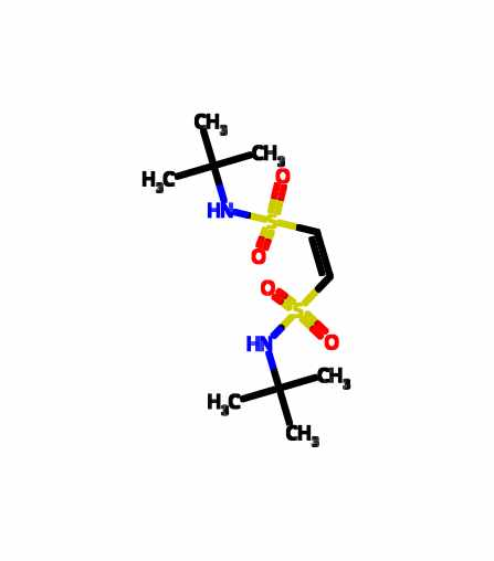 CC(C)(C)NS(=O)(=O)/C=C\S(=O)(=O)NC(C)(C)C